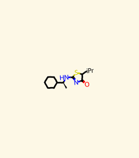 CC(C)C1SC(N[C@@H](C)C2CCCCC2)=NC1=O